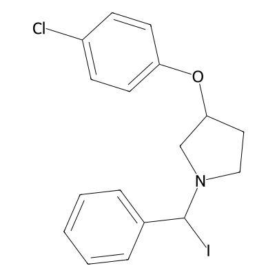 Clc1ccc(OC2CCN(C(I)c3ccccc3)C2)cc1